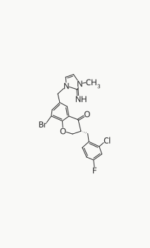 Cn1ccn(Cc2cc(Br)c3c(c2)C(=O)[C@H](Cc2ccc(F)cc2Cl)CO3)c1=N